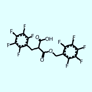 O=C(O)C(Cc1c(F)c(F)c(F)c(F)c1F)C(=O)OCc1c(F)c(F)c(F)c(F)c1F